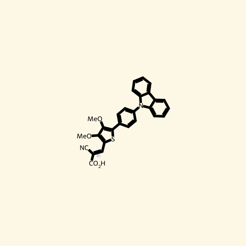 COc1c(/C=C(\C#N)C(=O)O)sc(-c2ccc(-n3c4ccccc4c4ccccc43)cc2)c1OC